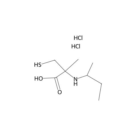 CCC(C)NC(C)(CS)C(=O)O.Cl.Cl